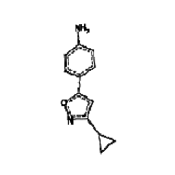 Nc1ccc(-c2cc(C3CC3)no2)cc1